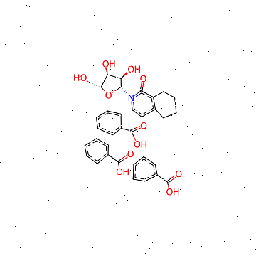 O=C(O)c1ccccc1.O=C(O)c1ccccc1.O=C(O)c1ccccc1.O=c1c2c(ccn1[C@@H]1O[C@H](CO)[C@@H](O)[C@H]1O)CCCC2